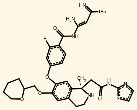 CC(C)(C)C(=N)/C=C(\N)NC(=O)c1ccc(Oc2cc3c(cc2OCC2CCCCO2)CCN[C@]3(C)CC(=O)Nc2nccs2)cc1F